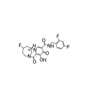 O=C(NCc1ccc(F)cc1F)c1cn2c(c(O)c1=O)C(=O)N1CCC(F)C[C@H]2C1